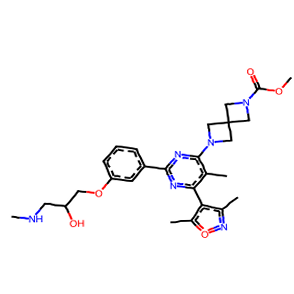 CNCC(O)COc1cccc(-c2nc(-c3c(C)noc3C)c(C)c(N3CC4(CN(C(=O)OC)C4)C3)n2)c1